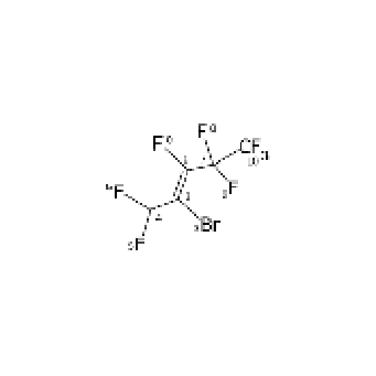 FC(=C(Br)C(F)F)C(F)(F)C(F)(F)F